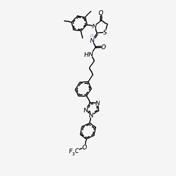 Cc1cc(C)c(N2C(=O)CS/C2=N\C(=O)NCCCc2cccc(-c3ncn(-c4ccc(OC(F)(F)F)cc4)n3)c2)c(C)c1